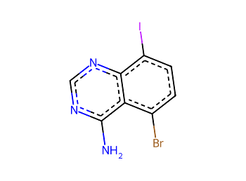 Nc1ncnc2c(I)ccc(Br)c12